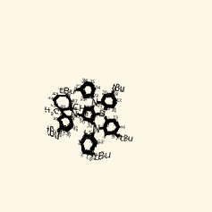 CC(C)(C)c1cccc(N2c3cc(C(C)(C)C)ccc3B3c4ccc(C(C)(C)C)cc4N(c4cccc(C(C)(C)C)c4)c4cc(N5c6ccc(C(C)(C)C)cc6C6(C)CCCCCC56C)cc2c43)c1